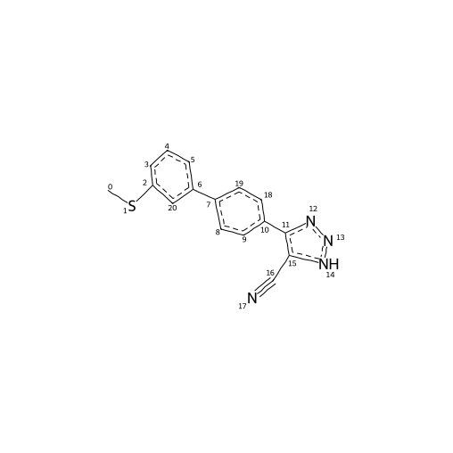 CSc1cccc(-c2ccc(-c3nn[nH]c3C#N)cc2)c1